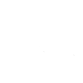 CCOc1cc(C(=O)Nc2ccc(C#N)cc2C(=O)O)cc(OCC)c1OCC